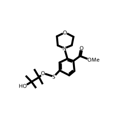 COC(=O)c1ccc(SOC(C)(C)C(C)(C)O)cc1N1CCOCC1